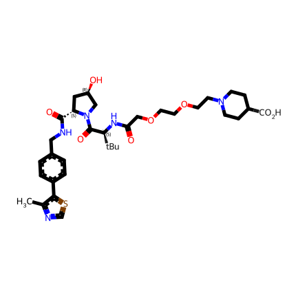 Cc1ncsc1-c1ccc(CNC(=O)[C@@H]2C[C@@H](O)CN2C(=O)[C@@H](NC(=O)COCCOCCN2CCC(C(=O)O)CC2)C(C)(C)C)cc1